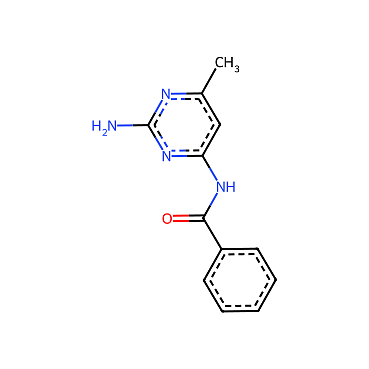 Cc1cc(NC(=O)c2ccccc2)nc(N)n1